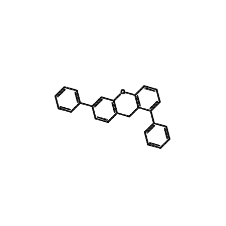 c1ccc(-c2ccc3c(c2)Oc2cccc(-c4ccccc4)c2C3)cc1